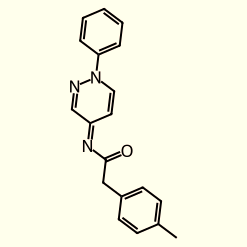 Cc1ccc(CC(=O)N=c2ccn(-c3ccccc3)nc2)cc1